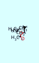 CC(=O)OCC1=CC1.C[SiH](C)C